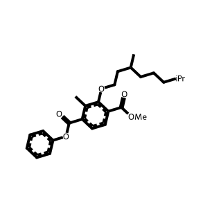 COC(=O)c1ccc(C(=O)Oc2ccccc2)c(C)c1OCCC(C)CCCC(C)C